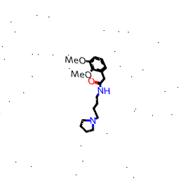 COc1cccc(CC(=O)NCCCCN2CCCC2)c1OC